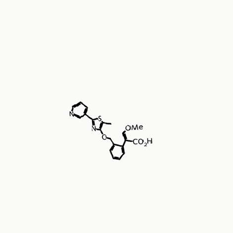 COC=C(C(=O)O)c1ccccc1COc1nc(-c2cccnc2)sc1C